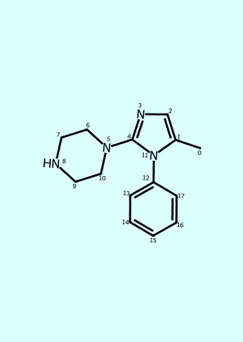 Cc1cnc(N2CCNCC2)n1-c1ccccc1